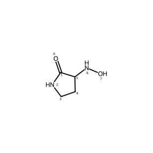 O=C1NCCC1NO